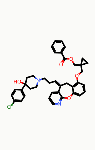 O=C(OCC1(COc2cccc3c2C/C(=C/CCN2CCC(O)(c4ccc(Cl)cc4)CC2)c2cccnc2O3)CC1)c1ccccc1